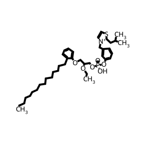 CCCCCCCCCCCCCCCc1ccccc1OCC(COP(=O)(O)Oc1cccc(C[n+]2ccsc2CC(C)C)c1)OCC